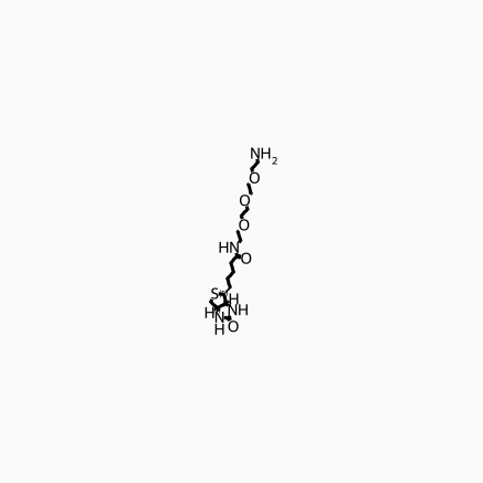 NCCOCCOCCOCCNC(=O)CCCC[C@@H]1SC[C@H]2NC(=O)N[C@@H]12